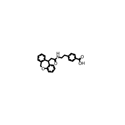 O=C(CC1c2ccccc2COc2ccccc21)NCCc1ccc(C(=O)O)cc1